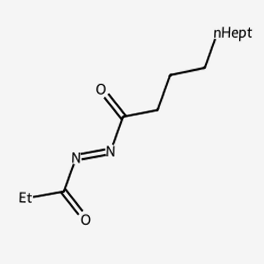 CCCCCCCCCCC(=O)N=NC(=O)CC